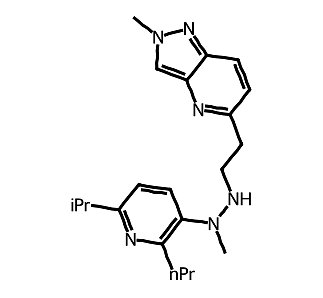 CCCc1nc(C(C)C)ccc1N(C)NCCc1ccc2nn(C)cc2n1